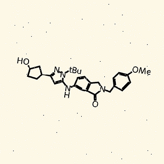 COc1ccc(CN2Cc3ccc(Nc4cc([C@H]5CC[C@@H](O)C5)nn4C(C)(C)C)cc3C2=O)cc1